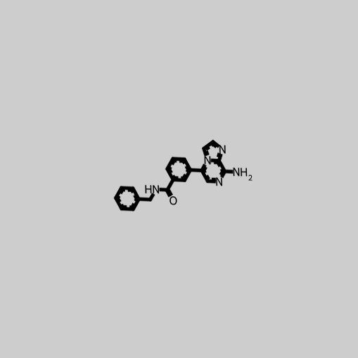 Nc1ncc(-c2cccc(C(=O)NCc3ccccc3)c2)n2ccnc12